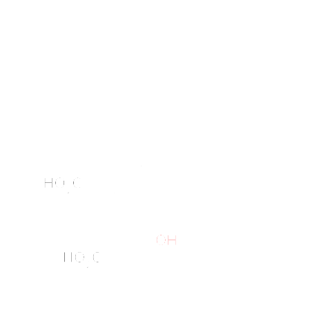 O=C(O)C(O)C(C(=O)O)C1CCCCCCCCCCC1